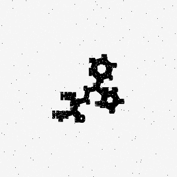 NC(=O)N(S)CCC(c1ccccn1)c1cccs1